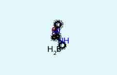 BC1CCCCCC(NCc2ccc(-c3noc(C4CCCCCCCC4)n3)c3ccccc23)CC1